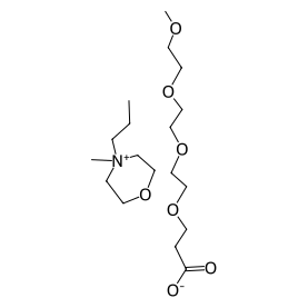 CCC[N+]1(C)CCOCC1.COCCOCCOCCOCCC(=O)[O-]